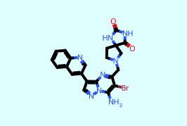 Nc1c(Br)c(CN2CCC3(C2)NC(=O)NC3=O)nc2c(-c3cnc4ccccc4c3)cnn12